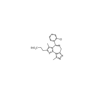 CCOC(=O)CCc1sc2c(c1C)C(c1ccccc1Cl)=NCc1nnc(C)n1-2